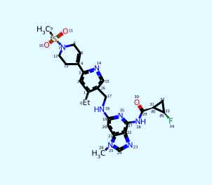 CCc1cc(C2=CCN(S(C)(=O)=O)CC2)ncc1CNc1cc2c(ncn2C)c(NC(=O)[C@H]2C[C@H]2F)n1